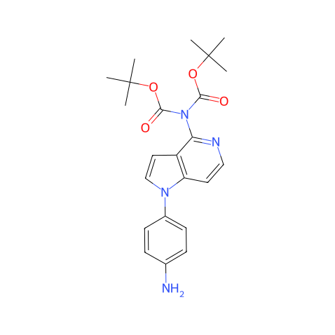 CC(C)(C)OC(=O)N(C(=O)OC(C)(C)C)c1nccc2c1ccn2-c1ccc(N)cc1